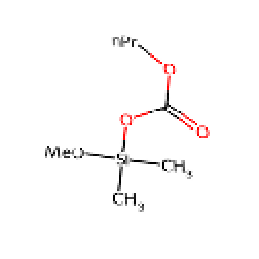 CCCOC(=O)O[Si](C)(C)OC